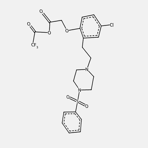 O=C(COc1ccc(Cl)cc1CCN1CCN(S(=O)(=O)c2ccccc2)CC1)OC(=O)C(F)(F)F